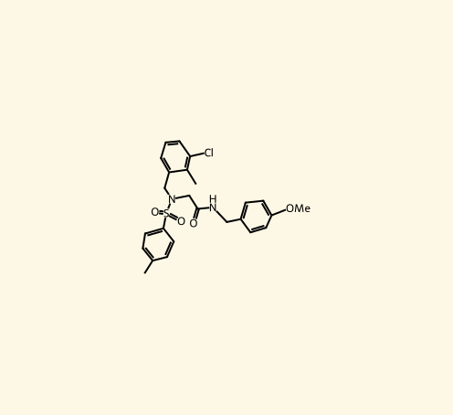 COc1ccc(CNC(=O)CN(Cc2cccc(Cl)c2C)S(=O)(=O)c2ccc(C)cc2)cc1